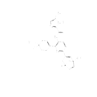 CC(C)C12C=CC(C(C)C)(CC(c3ccc(NC(=O)c4ncc(C#N)[nH]4)c(C4=CCC(C)(C)CC4)n3)=C1)O2